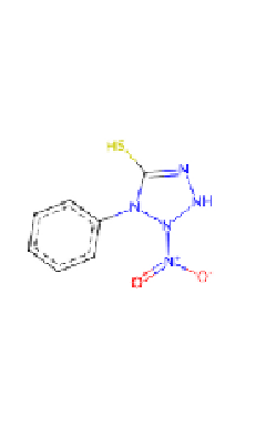 O=[N+]([O-])N1NN=C(S)N1c1ccccc1